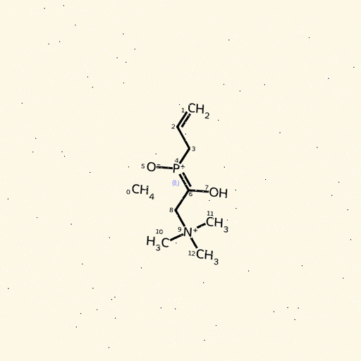 C.C=CC/[P+]([O-])=C(\O)C[N+](C)(C)C